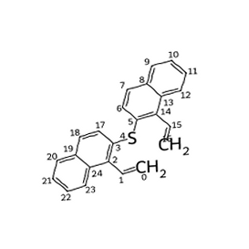 C=Cc1c(Sc2ccc3ccccc3c2C=C)ccc2ccccc12